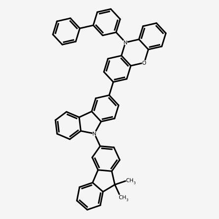 CC1(C)c2ccccc2-c2cc(-n3c4ccccc4c4cc(-c5ccc6c(c5)Oc5ccccc5N6c5cccc(-c6ccccc6)c5)ccc43)ccc21